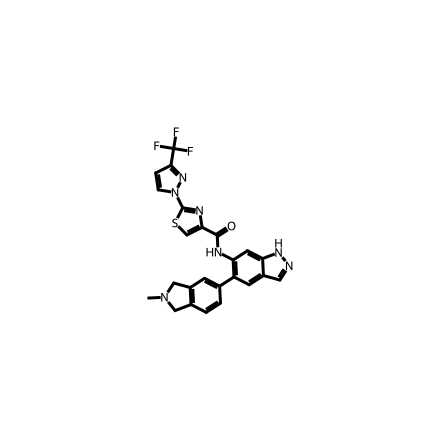 CN1Cc2ccc(-c3cc4cn[nH]c4cc3NC(=O)c3csc(-n4ccc(C(F)(F)F)n4)n3)cc2C1